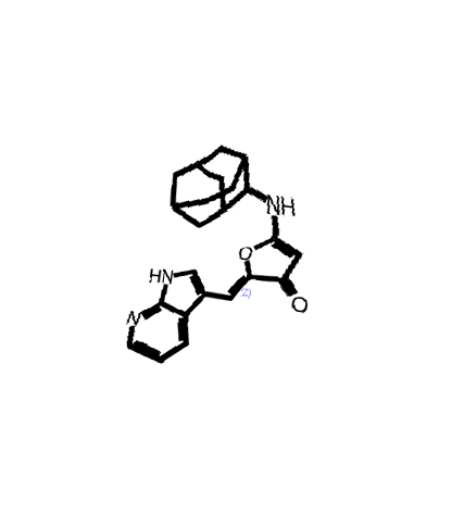 O=C1C=C(NC2C3CC4CC(C3)CC2C4)O/C1=C\c1c[nH]c2ncccc12